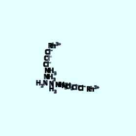 N.N.N.N.N.N.[Cl-].[Cl-].[Cl-].[Cl-].[Cl-].[Cl-].[Rh+3].[Rh+3]